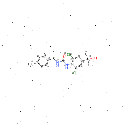 CC(O)(c1cc(Cl)c(NC(=O)NCc2ccc(C(F)(F)F)cc2)c(Cl)c1)C(F)(F)F